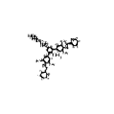 Br.Br.Br.Br.Cc1c(-c2cc(C(C)C)c(N=Cc3ccccn3)c(C(C)C)c2)cc(O)cc1-c1cc(C(C)C)c(N=Cc2ccccn2)c(C(C)C)c1.[Cu].[Cu]